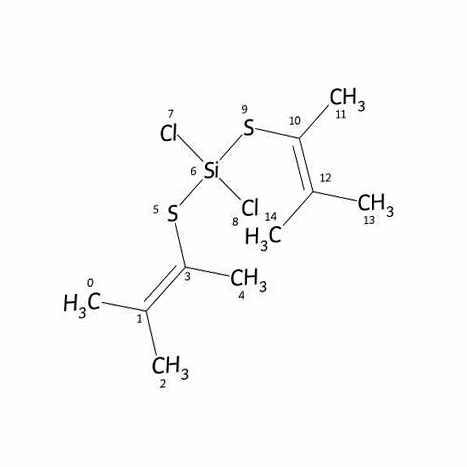 CC(C)=C(C)S[Si](Cl)(Cl)SC(C)=C(C)C